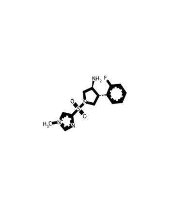 Cn1cnc(S(=O)(=O)N2C[C@@H](N)[C@H](c3ccccc3F)C2)c1